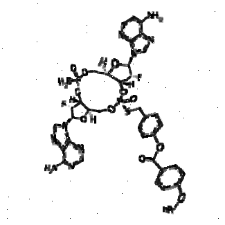 B[P@@]1(=O)OC[C@H]2O[C@@H](n3cnc4c(N)ccnc43)[C@H](F)[C@@H]2O[P@@](=O)(SCc2ccc(OC(=O)c3ccc(OCCC)cc3)cc2)OC[C@H]2O[C@@H](n3cnc4c(N)ncnc43)[C@H](F)[C@@H]2O1